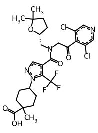 CC1(C)CC[C@H](CN(CC(=O)c2c(Cl)cncc2Cl)C(=O)c2cnn(C3CCC(C)(C(=O)O)CC3)c2C(F)(F)F)O1